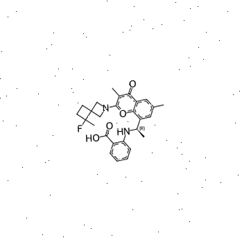 Cc1cc([C@@H](C)Nc2ccccc2C(=O)O)c2oc(N3CC4(CCC4(C)F)C3)c(C)c(=O)c2c1